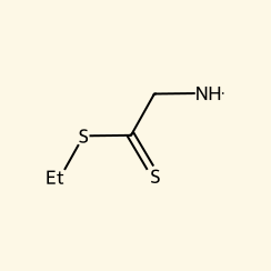 CCSC(=S)C[NH]